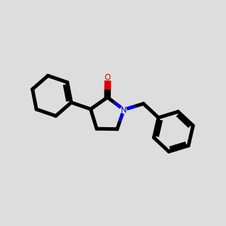 O=C1C(C2=CCCCC2)CCN1Cc1ccccc1